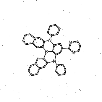 c1ccc(N2c3cc4ccccc4cc3B3c4cc5ccccc5cc4N(c4ccccc4)c4cc(-c5ncccn5)cc2c43)cc1